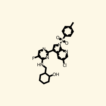 Cc1ccc(S(=O)(=O)n2cc(-c3ncc(F)c(NCC4CCCCC4O)n3)c3cc(Cl)cnc32)cc1